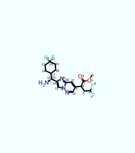 COC(=O)C(CC(F)F)c1cnn2cc([C@@H](N)C3CCC(F)(F)CC3)nc2c1